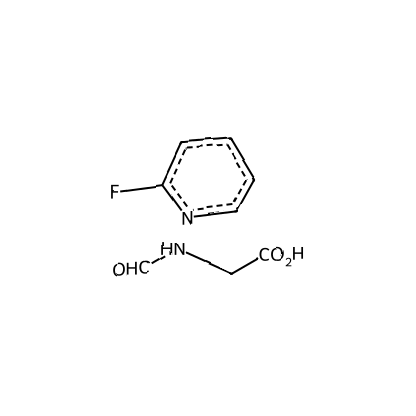 Fc1ccccn1.O=CNCC(=O)O